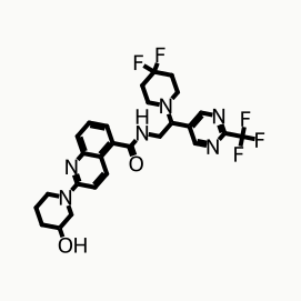 O=C(NCC(c1cnc(C(F)(F)F)nc1)N1CCC(F)(F)CC1)c1cccc2nc(N3CCCC(O)C3)ccc12